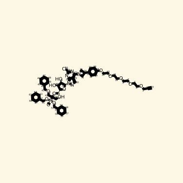 C#CCOCCOCCOCCOCCOc1ccc(C2CN(c3nc(Cl)nc4c3cnn4[C@@H]3O[C@H](COC(CO)(COCc4ccccc4)P(=O)(OCc4ccccc4)OCc4ccccc4)[C@@H](O)[C@H]3O)C2)cc1